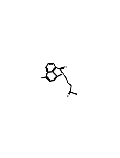 CC(=O)CCCN1C(=O)c2cccc3c(C)ccc1c23